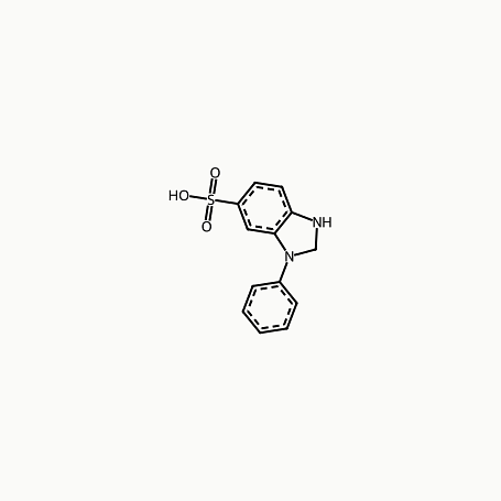 O=S(=O)(O)c1ccc2c(c1)N(c1ccccc1)CN2